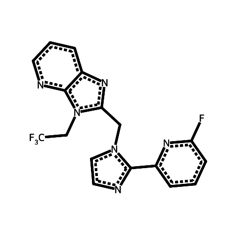 Fc1cccc(-c2nccn2Cc2nc3cccnc3n2CC(F)(F)F)n1